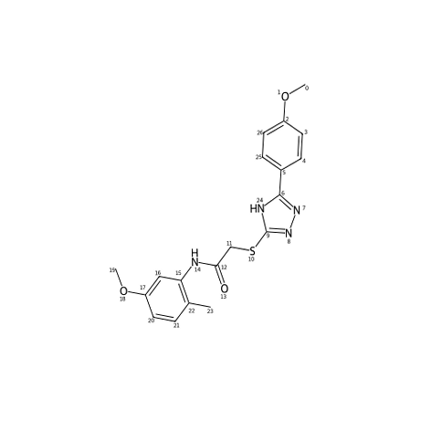 COc1ccc(-c2nnc(SCC(=O)Nc3cc(OC)ccc3C)[nH]2)cc1